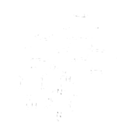 Cc1ccc2c(oc3c(-c4cc5ccccc5c5ccccc45)cccc32)c1-c1cncc[n+]1C